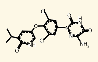 CC(C)c1cc(Oc2c(Cl)cc(-n3nc(N)c(=O)[nH]c3=O)cc2Cl)c[nH]c1=O